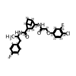 CC(Cc1ccc(F)cc1)NC(=O)C1CC(NC(=O)COc2ccc(Cl)c(F)c2)C2CC1C2